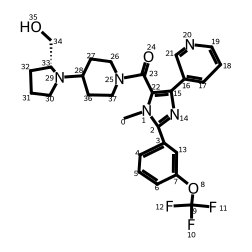 Cn1c(-c2cccc(OC(F)(F)F)c2)nc(-c2cccnc2)c1C(=O)N1CCC(N2CCC[C@@H]2CO)CC1